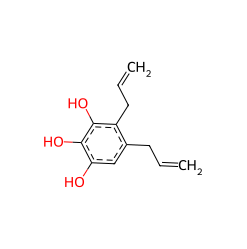 C=CCc1cc(O)c(O)c(O)c1CC=C